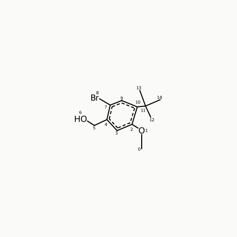 COc1cc(CO)c(Br)cc1C(C)(C)C